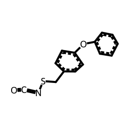 O=C=NSCc1ccc(Oc2ccccc2)cc1